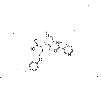 COC[C@@H](NC(=O)c1cnccn1)C(=O)N[C@@H](CCOc1ccccc1)B(O)O